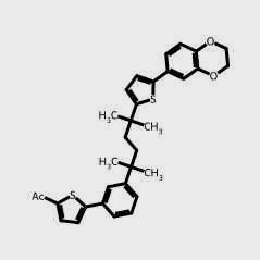 CC(=O)c1ccc(-c2cccc(C(C)(C)CCC(C)(C)c3ccc(-c4ccc5c(c4)OCCO5)s3)c2)s1